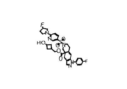 O=C(OCC1CC(O)C1)C12Cc3cnn(-c4ccc(F)cc4)c3C=C1CCN(S(=O)(=O)c1ccc(N3CCC(F)C3)nc1)C2